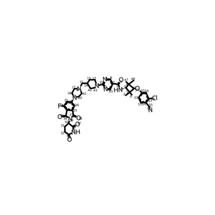 CC1(C)[C@H](NC(=O)c2cnc(N3CCC(CN4CCN(c5cc(F)c6c(c5)C(=O)N(C5CCC(=O)NC5=O)C6=O)CC4)CC3)nc2)C(C)(C)[C@H]1Oc1ccc(C#N)c(Cl)c1